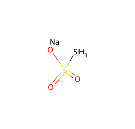 O=S(=O)([O-])[SiH3].[Na+]